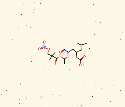 CC(C)C[C@@H](CC(=O)O)CN(C=O)OC(C)OC(=O)C(C)(C)CO[N+](=O)[O-]